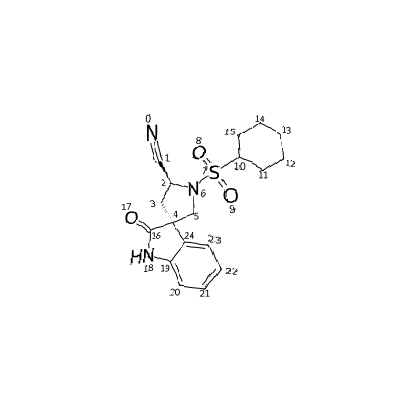 N#C[C@@H]1C[C@@]2(CN1S(=O)(=O)C1CCCCC1)C(=O)Nc1ccccc12